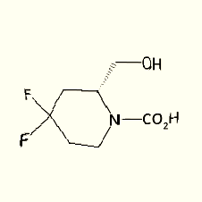 O=C(O)N1CCC(F)(F)C[C@@H]1CO